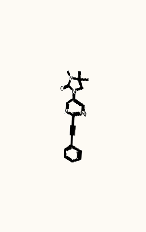 CN1C(=O)N(c2cnc(C#Cc3ccccc3)nc2)CC1(C)C